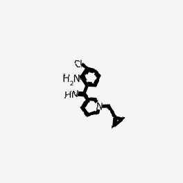 N=C(C1=CCCN(CC2CC2)C1)c1cccc(Cl)c1N